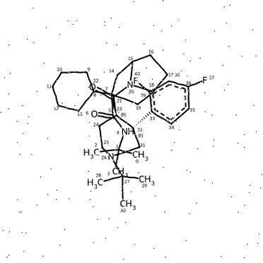 CC(C)(C)NC(=O)C1(C2CCCCC2)CC2CCC(C1)N2C(=O)[C@@H]1CCN(C(C)(C)C)C[C@H]1c1ccc(F)cc1F